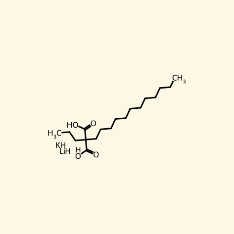 CCCCCCCCCCCCC(CCC)(C(=O)O)C(=O)O.[KH].[LiH]